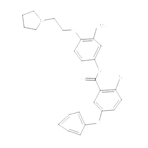 COc1cc(NC(=O)c2cc(Oc3ccccc3)ccc2N)ccc1OCCN1CCCC1